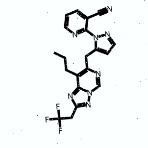 CCCc1c(Cc2ccnn2-c2ncccc2C#N)ncn2nc(CC(F)(F)F)nc12